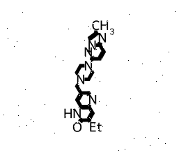 CCc1cc2ncc(CN3CCN(c4ccc5nc(C)cn5n4)CC3)cc2[nH]c1=O